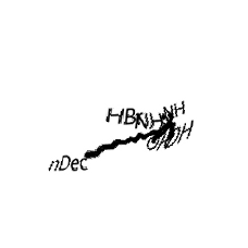 Br.CCCCCCCCCCCCCCCCCCCCCCN1CCNCC1(CCO)CCO.N